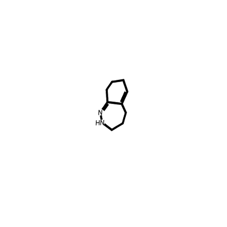 C1=C2CCCNN=C2CCC1